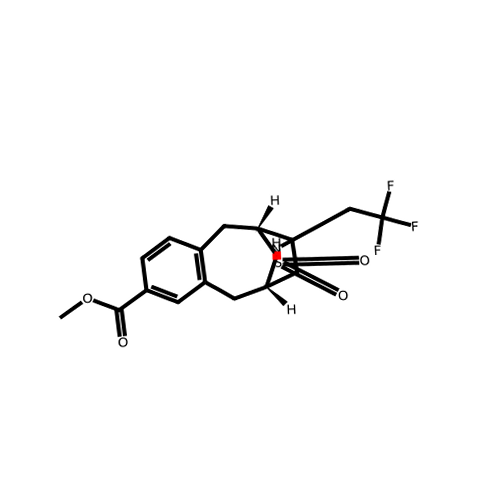 COC(=O)c1ccc2c(c1)C[C@H]1CC[C@@H](C2)[C@]12CN(CC(F)(F)F)S(=O)(=O)N2